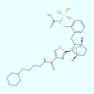 O=C(NCCCCC1CCCCC1)c1coc([C@H]2C(Cc3ccccc3C[C@H](C(=O)O)S(=O)(=O)O)[C@@H]3CC[C@H]2O3)n1